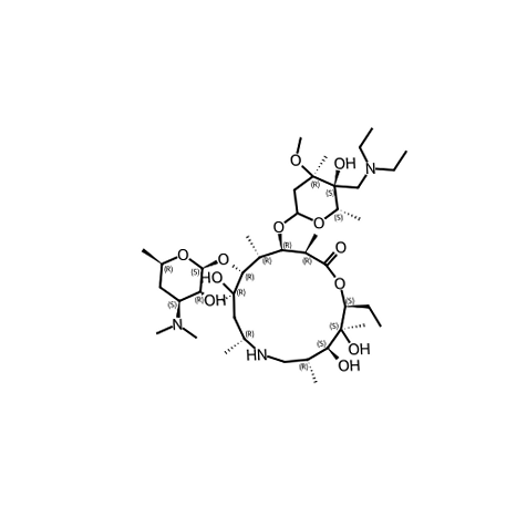 CC[C@@H]1OC(=O)[C@H](C)[C@H](OC2C[C@@](C)(OC)[C@](O)(CN(CC)CC)[C@H](C)O2)[C@@H](C)[C@@H](O[C@@H]2O[C@H](C)C[C@H](N(C)C)[C@H]2O)[C@](C)(O)C[C@@H](C)NC[C@@H](C)[C@H](O)[C@]1(C)O